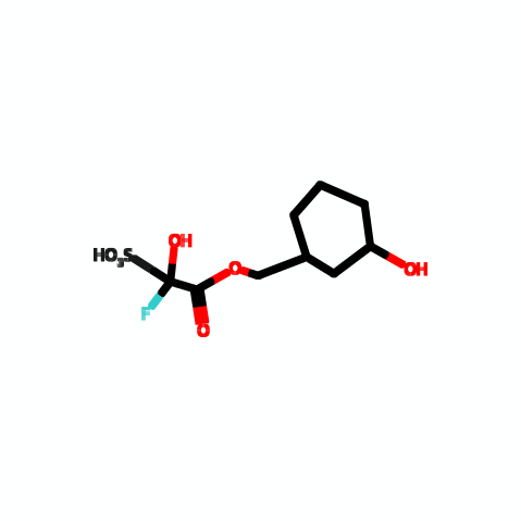 O=C(OCC1CCCC(O)C1)C(O)(F)S(=O)(=O)O